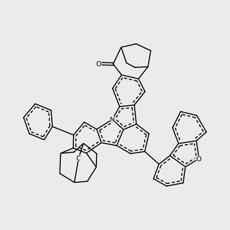 O=C1c2cc3c(cc2C2CCC1CC2)c1cc(-c2cccc4oc5ccccc5c24)cc2c4c5c(c(-c6ccccc6)cc4n3c12)C1CC2CC(C1)CC5C2